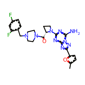 Cc1ccc(-c2nc3nc(N4CC[C@H]4C(=O)N4CCN(Cc5ccc(F)cc5F)CC4)nc(N)n3n2)o1